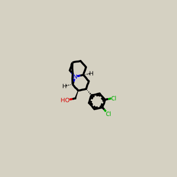 OC[C@@H]1[C@@H](c2ccc(Cl)c(Cl)c2)C[C@@H]2CCC3CN2[C@H]31